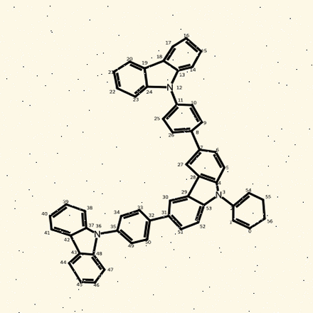 C1=CC(n2c3ccc(-c4ccc(-n5c6ccccc6c6ccccc65)cc4)cc3c3cc(-c4ccc(-n5c6ccccc6c6ccccc65)cc4)ccc32)=CCC1